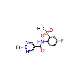 CCc1ncc(C(=O)Nc2ccc(F)cc2S(C)(=O)=O)cn1